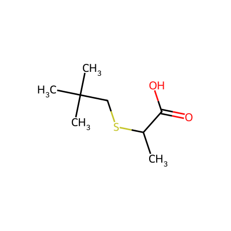 CC(SCC(C)(C)C)C(=O)O